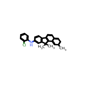 CC1C=c2c3c(ccc2=CC1)-c1ccc(Nc2ccccc2Cl)cc1C3(C)C